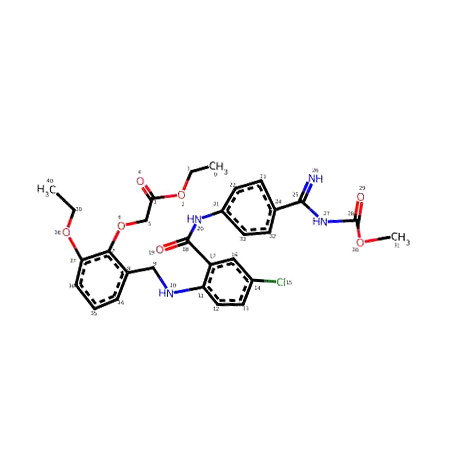 CCOC(=O)COc1c(CNc2ccc(Cl)cc2C(=O)Nc2ccc(C(=N)NC(=O)OC)cc2)cccc1OCC